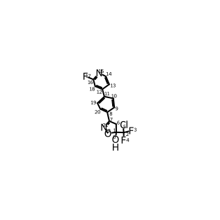 OC1(C(F)(F)Cl)CC(c2ccc(-c3ccnc(F)c3)cc2)=NO1